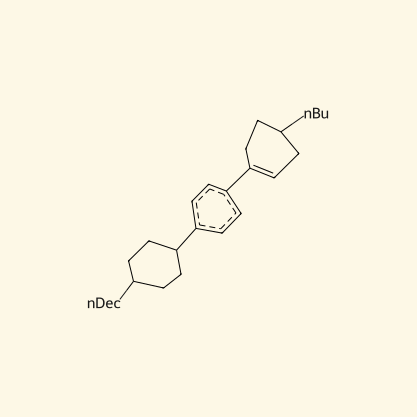 CCCCCCCCCCC1CCC(c2ccc(C3=CCC(CCCC)CC3)cc2)CC1